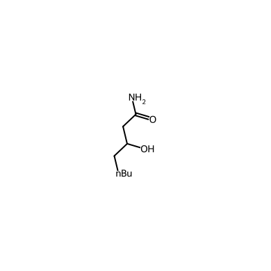 CCCCCC(O)CC(N)=O